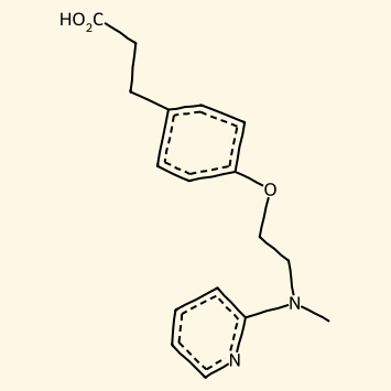 CN(CCOc1ccc(CCC(=O)O)cc1)c1ccccn1